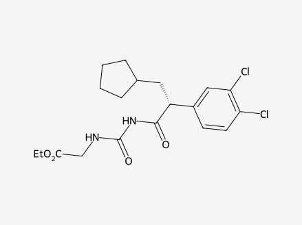 CCOC(=O)CNC(=O)NC(=O)[C@H](CC1CCCC1)c1ccc(Cl)c(Cl)c1